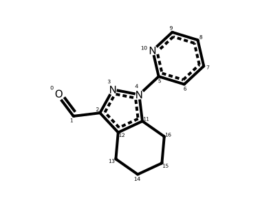 O=Cc1nn(-c2ccccn2)c2c1CCCC2